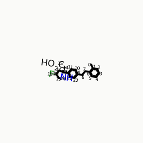 Cc1ccccc1CCc1ccc([C@@]2(CC(=O)O)C[C@H](F)CN2)cc1